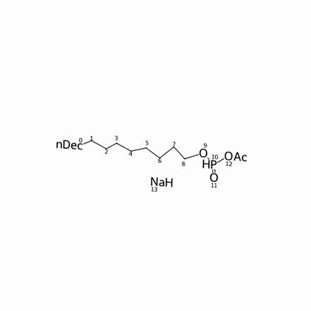 CCCCCCCCCCCCCCCCCCO[PH](=O)OC(C)=O.[NaH]